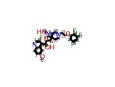 COc1ccc2ncc(F)c([C@H](O)CCC3(C(=O)NO)CCN(CCOc4cc(F)cc(F)c4F)CC3)c2c1